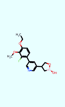 CCOc1ccc(-c2cncc(C3COB(O)C3)c2)c(F)c1OC